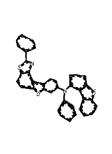 c1ccc(-c2nc3c(ccc4oc5cc(N(c6ccccc6)c6cccc7sc8ccccc8c67)ccc5c43)s2)cc1